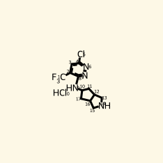 Cl.FC(F)(F)c1cc(Cl)nnc1NC1CC2CNCC2C1